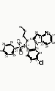 CCCCN(c1ccc(Cl)cc1-n1ccc2ncccc21)S(=O)(=O)c1ccccc1